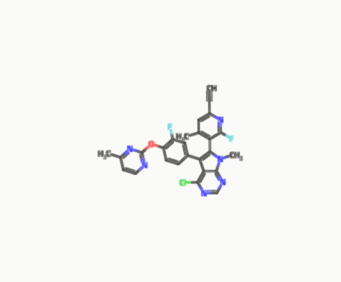 C#Cc1cc(C)c(-c2c(-c3ccc(Oc4nccc(C)n4)c(F)c3)c3c(Cl)ncnc3n2C)c(F)n1